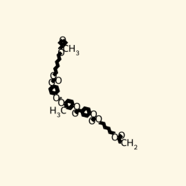 C=CC(=O)OCCCCCCOC(=O)Oc1ccc(C(=O)Oc2ccc(OCOc3ccc(OC(=O)OCCCCCCOCC4(C)COC4)cc3)c(C)c2)cc1